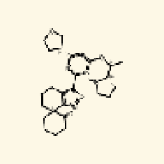 C[C@H](Oc1cc([C@@H]2CCOC2)nc(-c2onc3c2CCC[C@@]32CCCCC2=O)n1)[C@@H]1CCCN1C